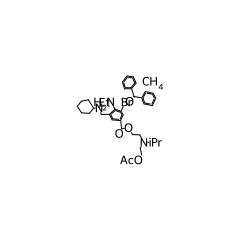 C.CCN(Cc1cc(C(=O)OCCN(CCOC(C)=O)C(C)C)cc(Br)c1N)C1CCCCC1.O=C(c1ccccc1)c1ccccc1